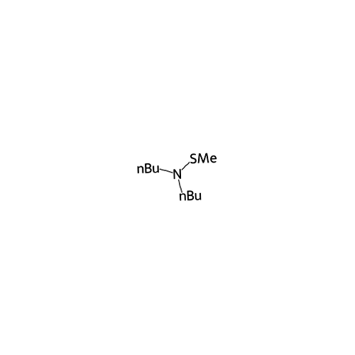 CCCCN(CCCC)SC